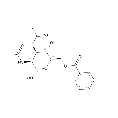 CC(=O)N[C@H]1[C@@H](OC(C)=O)[C@H](O)[C@@H](COC(=O)c2ccccc2)O[C@@H]1O